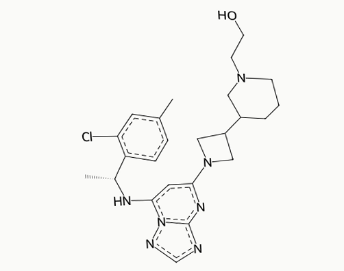 Cc1ccc([C@@H](C)Nc2cc(N3CC(C4CCCN(CCO)C4)C3)nc3ncnn23)c(Cl)c1